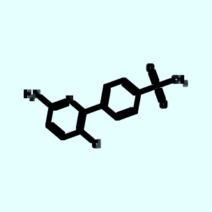 CS(=O)(=O)c1ccc(-c2nc(N)ccc2Cl)cc1